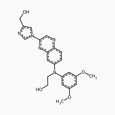 COc1cc(OC)cc(N(CCO)c2ccc3ncc(-n4cnc(CO)c4)nc3c2)c1